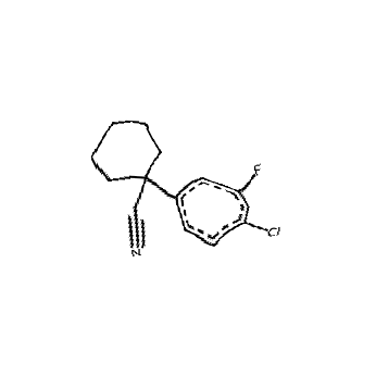 N#CC1(c2ccc(Cl)c(F)c2)CCCCC1